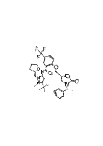 C[C@H](c1ccccc1)N1C[C@@H](COc2ccc(C(F)(F)F)cc2C(=O)/N=c2\cc(C(C)(C)C)n(C)n2C[C@H]2CCCO2)OC1=O